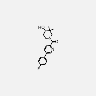 CC1(C)CN(C(=O)c2ccc(-c3ccc(F)cc3)cn2)CCC1O